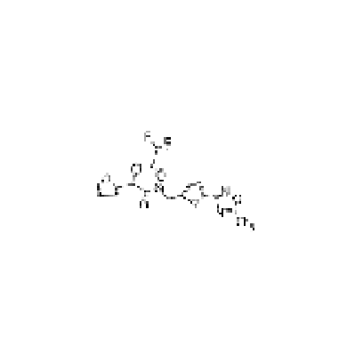 O=C(C(=O)N(Cc1ccc(-c2noc(C(F)(F)F)n2)s1)OCC(F)F)c1ccco1